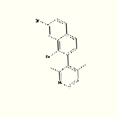 Cc1n[c]nc(C)c1-c1ccc2ccc(Br)cc2c1Br